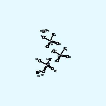 O=S(=O)([O-])[S-].O=S(=O)([O-])[S-].O=S(=O)([O-])[S-].[Bi+3].[Bi+3]